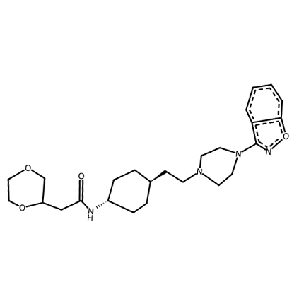 O=C(CC1COCCO1)N[C@H]1CC[C@H](CCN2CCN(c3noc4ccccc34)CC2)CC1